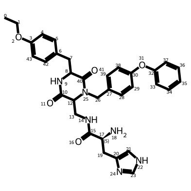 CCOc1ccc(CC2NC(=O)C(CNC(=O)[C@@H](N)Cc3c[nH]cn3)N(Cc3ccc(Oc4ccccc4)cc3)C2=O)cc1